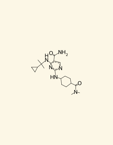 CN(C)C(=O)C1CCC(Nc2ncc(C(N)=O)c(NC(C)(C)C3CC3)n2)CC1